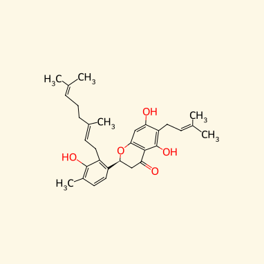 CC(C)=CCC/C(C)=C/Cc1c([C@@H]2CC(=O)c3c(cc(O)c(CC=C(C)C)c3O)O2)ccc(C)c1O